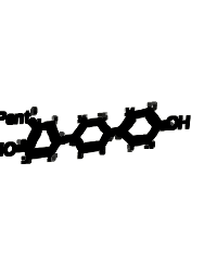 CCCCCc1cc(C2C=CC(c3ccc(O)cc3)CC2)ccc1O